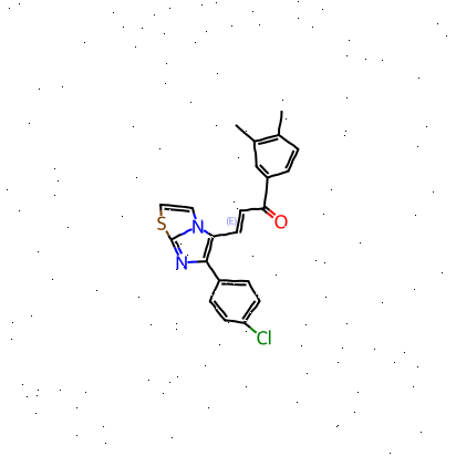 Cc1ccc(C(=O)/C=C/c2c(-c3ccc(Cl)cc3)nc3sccn23)cc1C